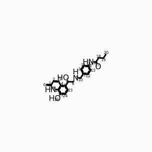 C=C1C=Cc2c([C@@H](O)CNCc3ccc(NC(=O)CCC)cc3)ccc(O)c2N1